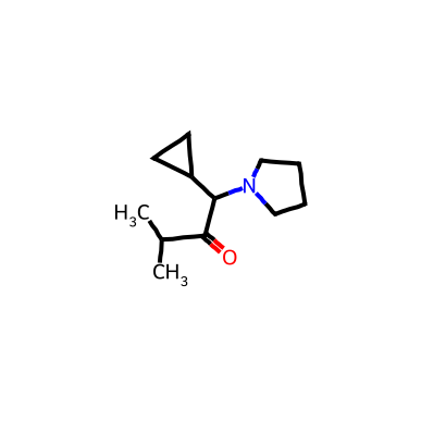 CC(C)C(=O)C(C1CC1)N1CCCC1